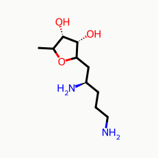 CC1OC(C[C@H](N)CCCN)[C@@H](O)[C@H]1O